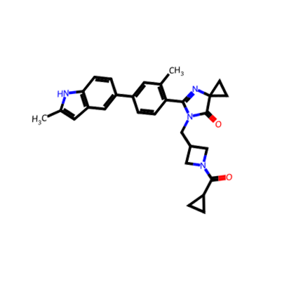 Cc1cc2cc(-c3ccc(C4=NC5(CC5)C(=O)N4CC4CN(C(=O)C5CC5)C4)c(C)c3)ccc2[nH]1